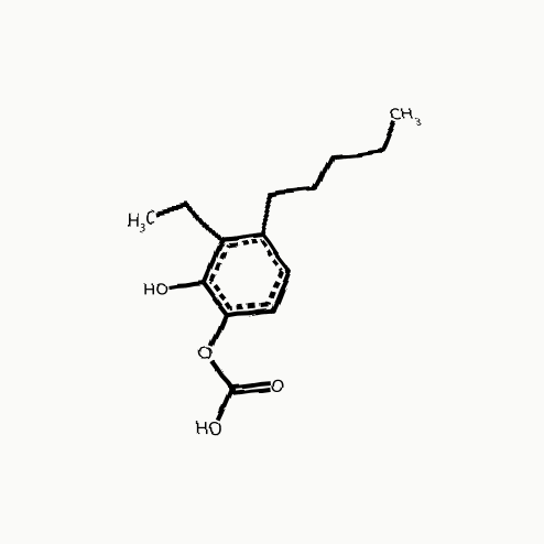 CCCCCc1ccc(OC(=O)O)c(O)c1CC